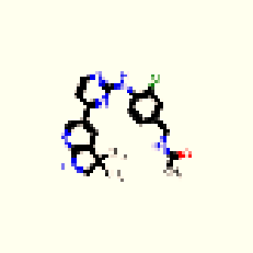 CC(=O)NCc1ccc(Nc2nccc(-c3cnc4c(c3)C(C)(C)CN4)n2)c(Cl)c1